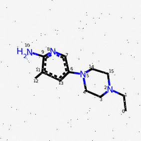 CCN1CCN(c2cnc(N)c(C)c2)CC1